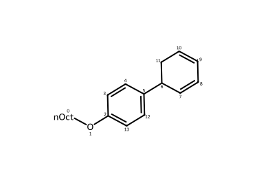 CCCCCCCCOc1ccc(C2C=C[C]=CC2)cc1